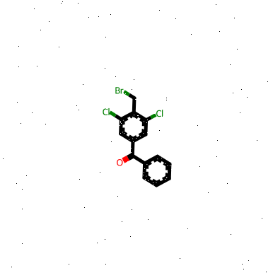 O=C(c1ccccc1)c1cc(Cl)c(CBr)c(Cl)c1